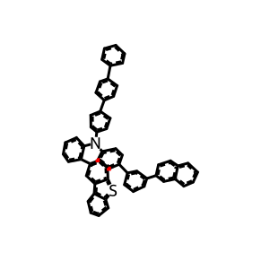 c1ccc(-c2ccc(-c3ccc(N(c4ccc(-c5cccc(-c6ccc7ccccc7c6)c5)cc4)c4ccccc4-c4ccc5sc6ccccc6c5c4)cc3)cc2)cc1